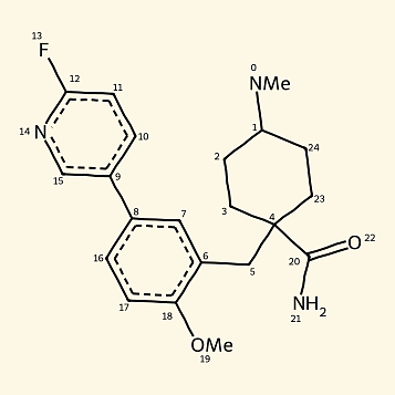 CNC1CCC(Cc2cc(-c3ccc(F)nc3)ccc2OC)(C(N)=O)CC1